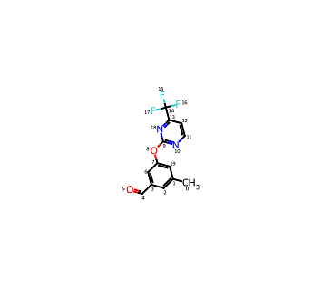 Cc1cc(C=O)cc(Oc2nccc(C(F)(F)F)n2)c1